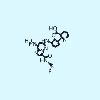 CNc1cc(Nc2cccc(-c3ncccc3C(=O)O)c2)nn2c(C(=O)N[C@@H]3C[C@@H]3F)cnc12